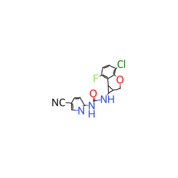 N#Cc1ccc(NC(=O)NC2C3COc4c(Cl)ccc(F)c4C32)nc1